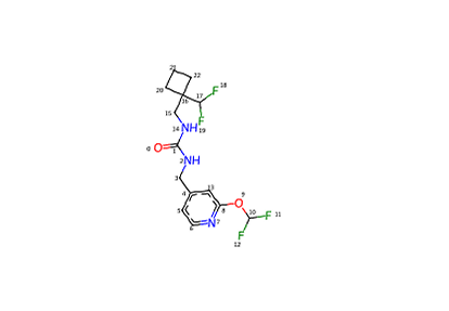 O=C(NCc1ccnc(OC(F)F)c1)NCC1(C(F)F)CCC1